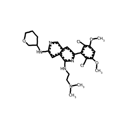 COc1cc(OC)c(Cl)c(-c2cc3cnc(NC4CCCOC4)cc3c(NCCN(C)C)n2)c1Cl